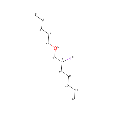 CCCCCOCC(I)CCCCC